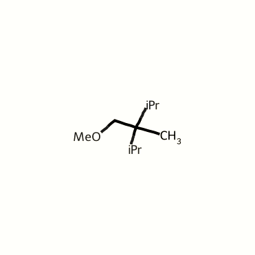 COCC(C)(C(C)C)C(C)C